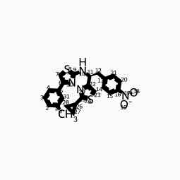 Cc1cccc(-c2csc(N[C@@H](Cc3ccc([N+](=O)[O-])cc3)c3csc(C4CC4)n3)n2)c1